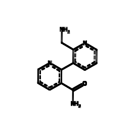 NCc1ncccc1-c1ncccc1C(N)=O